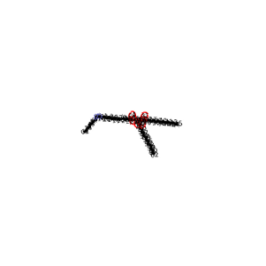 CCCCCCCC/C=C\CCCCCCCCCCCCCC(=O)OC[C@H](COC(=O)CCCCCCCCCCCCCC)OC(=O)CCCCCCCCCCCCCC